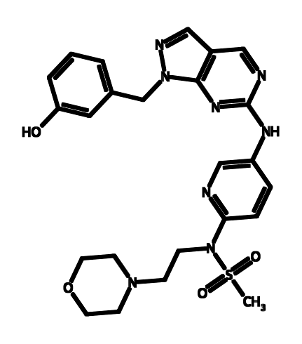 CS(=O)(=O)N(CCN1CCOCC1)c1ccc(Nc2ncc3cnn(Cc4cccc(O)c4)c3n2)cn1